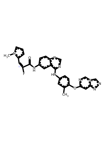 Cc1cc(Nc2ncnc3ccc(NC(=O)/C(F)=C\c4cccn4C)cc23)ccc1Oc1cc2nncn2cn1